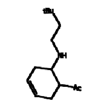 CC(=O)C1CC=CCC1NCCC(C)(C)C